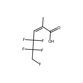 CC(=CC(F)(F)C(F)(F)CF)C(=O)O